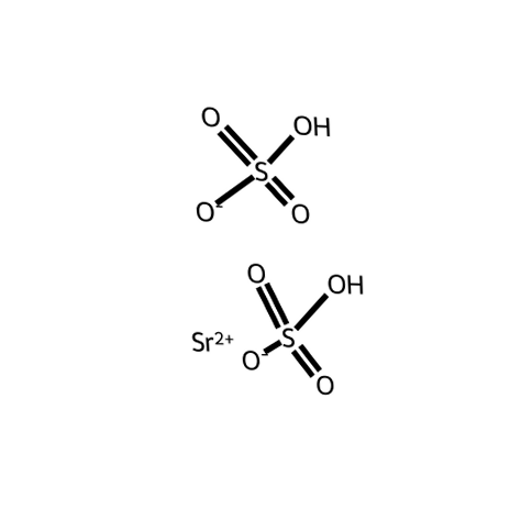 O=S(=O)([O-])O.O=S(=O)([O-])O.[Sr+2]